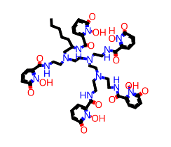 CCCCCC(CN(CCNC(=O)c1cccc(=O)n1O)CCN(CCNC(=O)c1cccc(=O)n1O)CCN(CCNC(=O)c1cccc(=O)n1O)CCNC(=O)c1cccc(=O)n1O)NC(=O)c1cccc(=O)n1O